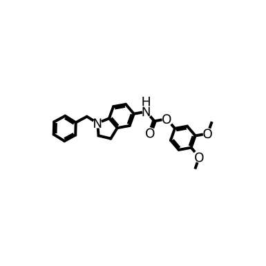 COc1ccc(OC(=O)Nc2ccc3c(c2)CCN3Cc2ccccc2)cc1OC